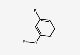 CCOC1=CC(F)=CC[CH]1